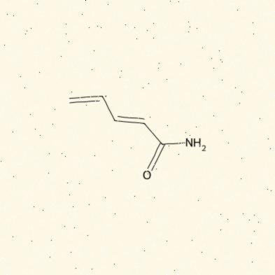 C=[C]C=CC(N)=O